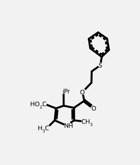 CC1=C(C(=O)O)C(C(C)C)C(C(=O)OCCSc2ccccc2)=C(C)N1